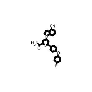 N#Cc1cccc2c1ccn2-c1cc(C(N)=O)nc(-c2ccc(Oc3ccc(F)cc3)cc2)c1